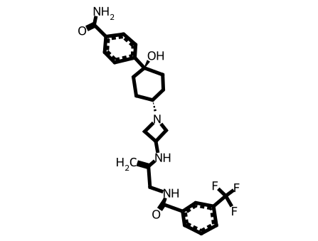 C=C(CNC(=O)c1cccc(C(F)(F)F)c1)NC1CN([C@H]2CC[C@@](O)(c3ccc(C(N)=O)cc3)CC2)C1